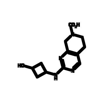 O=C(O)N1CCc2cnc(NC3CC(O)C3)nc2C1